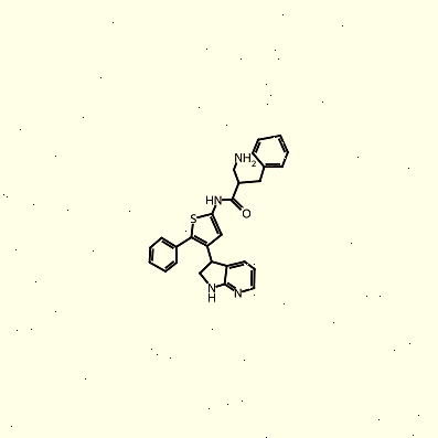 NCC(Cc1ccccc1)C(=O)Nc1cc(C2CNc3ncccc32)c(-c2ccccc2)s1